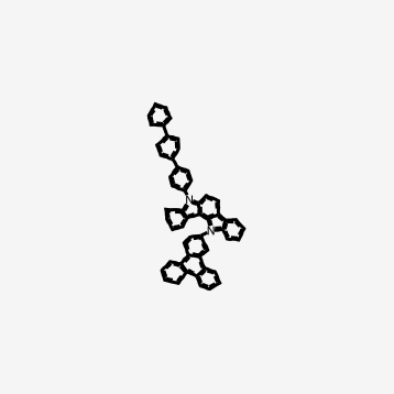 c1ccc(-c2ccc(-c3ccc(-n4c5ccccc5c5c4ccc4c6ccccc6n(-c6ccc7c8ccccc8c8ccccc8c7c6)c45)cc3)cc2)cc1